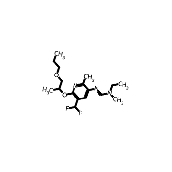 CCCOCC(C)Oc1nc(C)c(N=CN(C)CC)cc1C(F)F